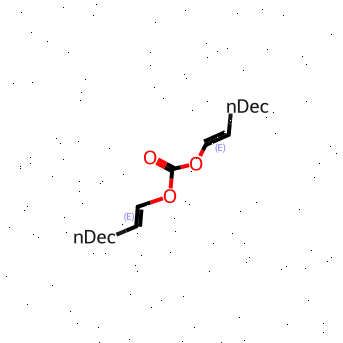 CCCCCCCCCC/C=C/OC(=O)O/C=C/CCCCCCCCCC